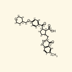 Cc1ccc2nnn(CC3CCC(C(=O)c4ccc(OCC5CCOCC5)cc4)C3C(=O)O)c(=O)c2c1